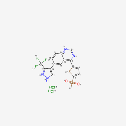 CS(=O)(=O)c1ccc(-c2ncnc3ccc(-c4c[nH]nc4C(F)(F)F)cc23)s1.Cl.Cl